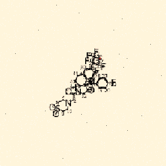 O=C(CN1CCS(=O)(=O)CC1)N1CC[C@@]2(S(=O)(=O)c3ccc(F)cc3)c3ccc(C(F)(C(F)(F)F)C(F)(F)F)cc3CC[C@@H]12